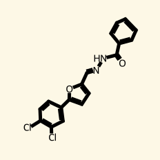 O=C(N/N=C/c1ccc(-c2ccc(Cl)c(Cl)c2)o1)c1ccccc1